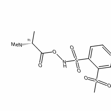 CN[C@H](C)C(=O)ONS(=O)(=O)c1ccccc1S(C)(=O)=O